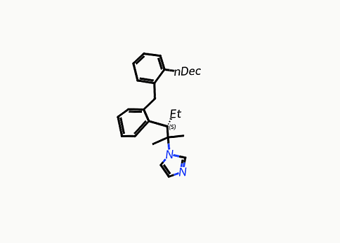 CCCCCCCCCCc1ccccc1Cc1ccccc1[C@H](CC)C(C)(C)n1ccnc1